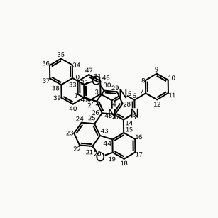 C1=CCC(c2nc(-c3ccccc3)nc(-c3cccc4oc5cccc(-c6cccc7oc8c9ccccc9ccc8c67)c5c34)n2)C=C1